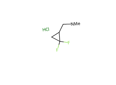 CNCC1CC1(F)F.Cl